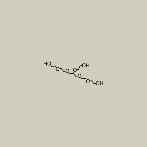 OCCOCCOCC(COCCOCCO)OCCO